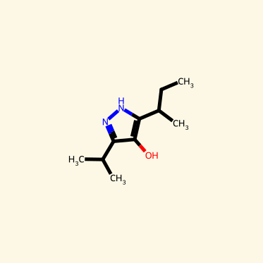 CCC(C)c1[nH]nc(C(C)C)c1O